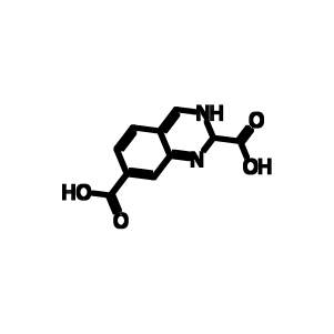 O=C(O)c1ccc2c(c1)=NC(C(=O)O)NC=2